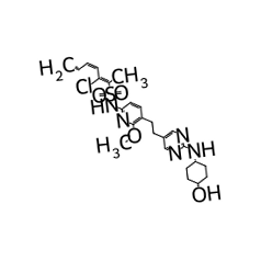 C=C/C=C\C(Cl)=C(/C)S(=O)(=O)Nc1ccc(CCc2cnc(N[C@H]3CC[C@H](O)CC3)nc2)c(OC)n1